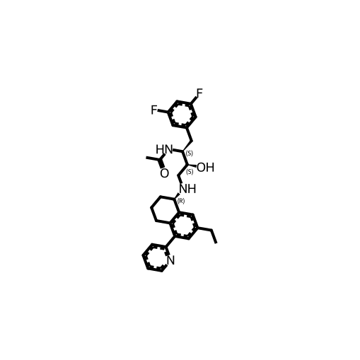 CCc1cc(-c2ccccn2)c2c(c1)[C@H](NC[C@H](O)[C@H](Cc1cc(F)cc(F)c1)NC(C)=O)CCC2